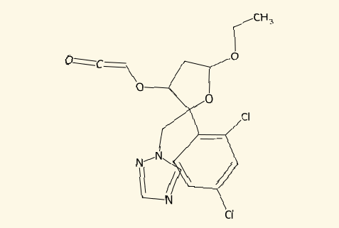 CCOC1CC(OC=C=O)C(Cn2cncn2)(c2ccc(Cl)cc2Cl)O1